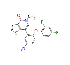 Cn1cc(-c2cc(N)ccc2Oc2ccc(F)cc2F)c2sccc2c1=O